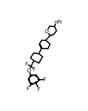 CCCC1CCC(C2CC=C(C3CCC(C(F)(F)Oc4cc(F)c(F)c(F)c4)CC3)CC2)OC1